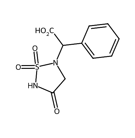 O=C1CN(C(C(=O)O)c2ccccc2)S(=O)(=O)N1